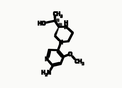 COc1cc(N)ncc1N1CCN[C@@H]([C@H](C)O)C1